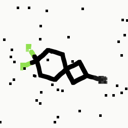 CCC1CC2(CCC(F)(F)CC2)C1